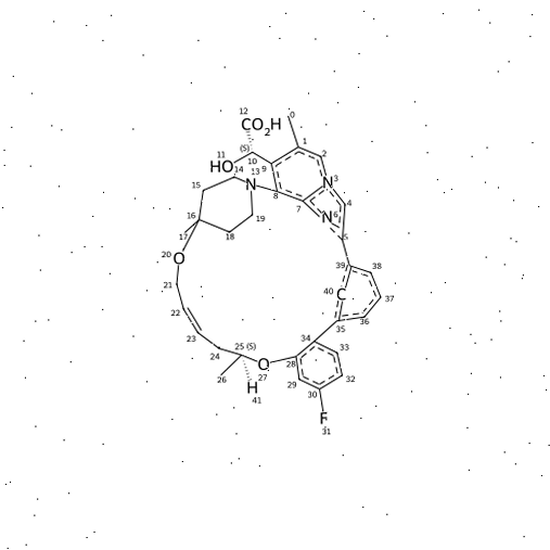 Cc1cn2cc3nc2c(c1[C@H](O)C(=O)O)N1CCC(C)(CC1)OCC=CC[C@H](C)Oc1cc(F)ccc1-c1cccc-3c1